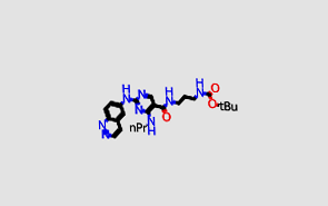 CCCNc1nc(Nc2ccc3nnccc3c2)ncc1C(=O)NCCCNC(=O)OC(C)(C)C